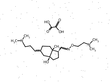 CN(C)CCC=C1CC[C@]2(C)[C@@H](C=NOCCN(C)C)CC[C@]2(O)C1.O=C(O)C(=O)O